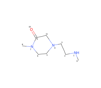 CNCCN1CCN(C)C(=O)C1